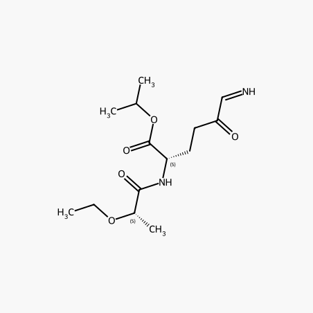 CCO[C@@H](C)C(=O)N[C@@H](CCC(=O)C=N)C(=O)OC(C)C